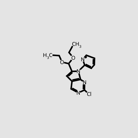 CCOC(OCC)c1cc2cnc(Cl)nc2n1-c1ccccn1